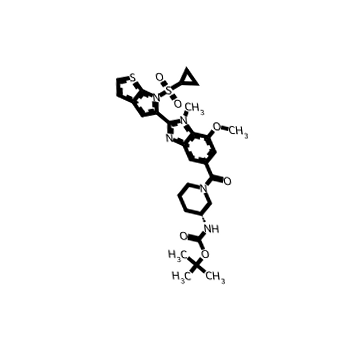 COc1cc(C(=O)N2CCC[C@@H](NC(=O)OC(C)(C)C)C2)cc2nc(-c3cc4ccsc4n3S(=O)(=O)C3CC3)n(C)c12